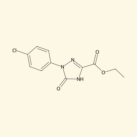 CCOC(=O)c1nn(-c2ccc(Cl)cc2)c(=O)[nH]1